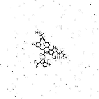 CC(O)C(=O)Nc1nn(C)c2c(-c3ccc(C#CC(C)(C)O)nc3C(Cc3cc(F)cc(F)c3)NC(=O)Cn3nc(C(F)F)c4c3C(F)(F)CC4)ccc(Cl)c12